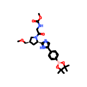 COC[C@H]1C[C@@H](c2ncc(-c3ccc(B4OC(C)(C)C(C)(C)O4)cc3)[nH]2)N(C(=O)CNC(=O)OC)C1